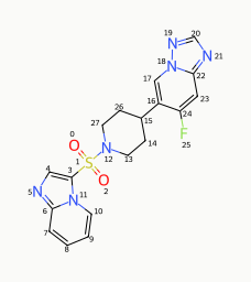 O=S(=O)(c1cnc2ccccn12)N1CCC(c2cn3ncnc3cc2F)CC1